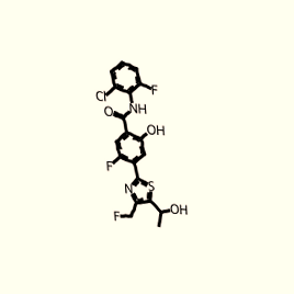 CC(O)c1sc(-c2cc(O)c(C(=O)Nc3c(F)cccc3Cl)cc2F)nc1CF